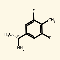 Cc1c(F)cc([C@@H](C)N)cc1F